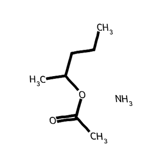 CCCC(C)OC(C)=O.N